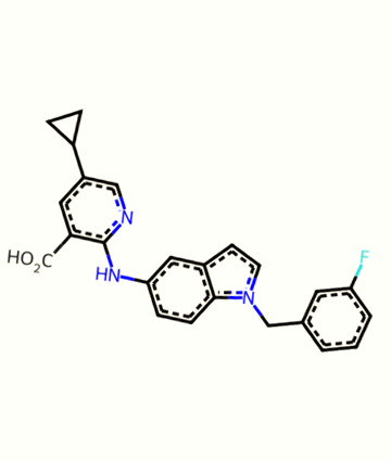 O=C(O)c1cc(C2CC2)cnc1Nc1ccc2c(ccn2Cc2cccc(F)c2)c1